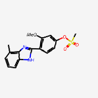 COc1cc(OS(C)(=O)=O)ccc1-c1nc2c(C)cccc2[nH]1